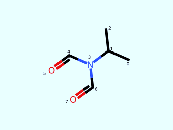 CC(C)N([C]=O)C=O